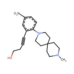 CN1CCC2(CC1)CCN(c1ccc([N+](=O)[O-])cc1C#CCCO)CC2